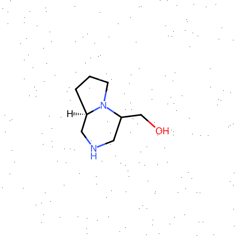 OCC1CNC[C@H]2CCCN12